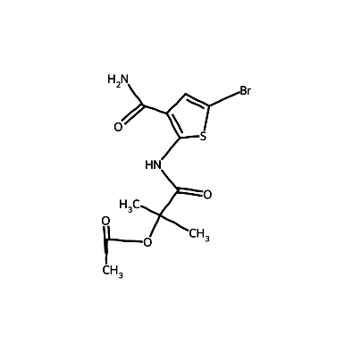 CC(=O)OC(C)(C)C(=O)Nc1sc(Br)cc1C(N)=O